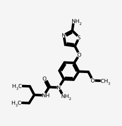 CCC(CC)NC(=O)N(N)c1ccc(Oc2cnc(N)s2)c(COC)c1